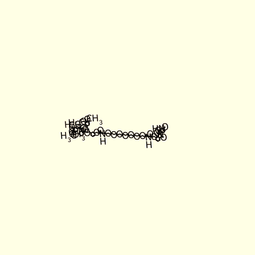 CC[C@H](C(=O)N1CCCC[C@H]1C(=O)O[C@H](CCc1ccc(OC)c(OC)c1)c1cccc(OCC(=O)NCCOCCOCCOCCOCCOCCOCCOCCNC(=O)COc2cccc3c2C(=O)N(C2CCC(=O)NC2=O)C3=O)c1)c1cc(OC)c(OC)c(OC)c1